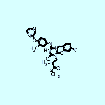 COC(=O)[C@@H](C)Cn1c(=O)[nH]/c(=N\c2ccc(Oc3cnccn3)c(C)c2)n(Cc2ccc(Cl)cc2)c1=O